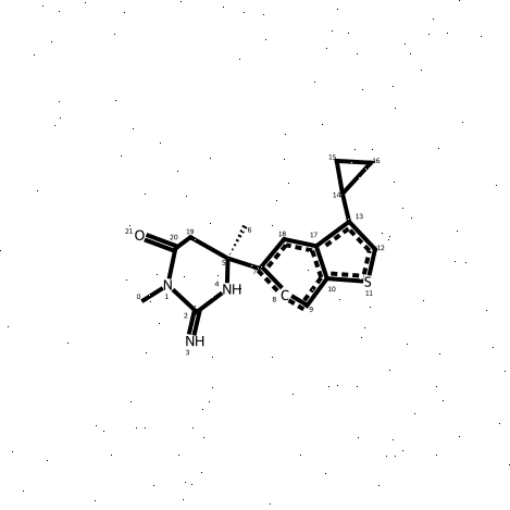 CN1C(=N)N[C@](C)(c2ccc3scc(C4CC4)c3c2)CC1=O